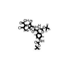 CC(C)(C)OC(=O)Nc1ccc(C(NC(=O)OC(C)(C)C)C(=O)NC2C(=O)N3C(C(=O)O)=C(Cl)CS[C@H]23)cc1